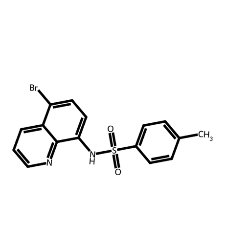 Cc1ccc(S(=O)(=O)Nc2ccc(Br)c3cccnc23)cc1